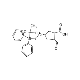 CC(C)(C)[Si](OCC1CC(C(=O)O)[C@@H](C=O)C1)(c1ccccc1)c1ccccc1